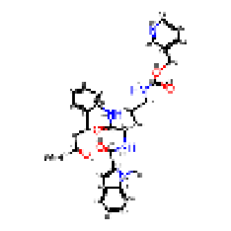 COC(=O)CCc1ccccc1NC(=O)[C@H](CCCNC(=O)OCc1cccnc1)NC(=O)c1cc2ccccc2n1C